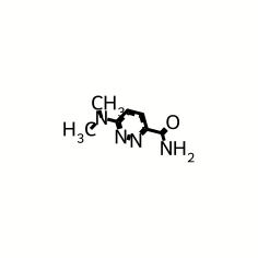 CN(C)c1ccc(C(N)=O)nn1